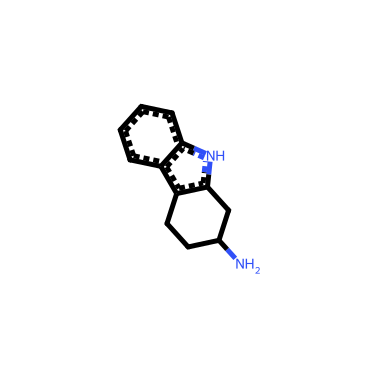 NC1CCc2c([nH]c3ccccc23)C1